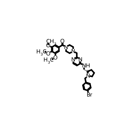 COc1cc(C(=O)N2CCN(Cc3nccc(NC[C@@H]4CCCN4Cc4ccc(Br)cc4)n3)CC2)cc(OC)c1OC